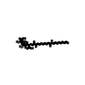 CC(C)(CC(C)(C)C(=O)N[C@@H](CCC(=O)NCCOCCOCC(=O)NCCOCCOCC=O)C(=O)O)C(=O)O